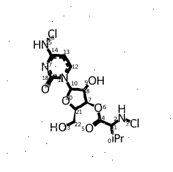 CC(C)C(NCl)C(=O)O[C@@H]1C(O)C(n2ccc(NCl)nc2=O)O[C@@H]1CO